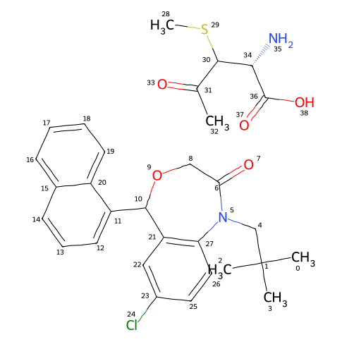 CC(C)(C)CN1C(=O)COC(c2cccc3ccccc23)c2cc(Cl)ccc21.CSC(C(C)=O)[C@H](N)C(=O)O